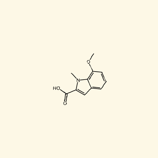 COc1cccc2cc(C(=O)O)n(C)c12